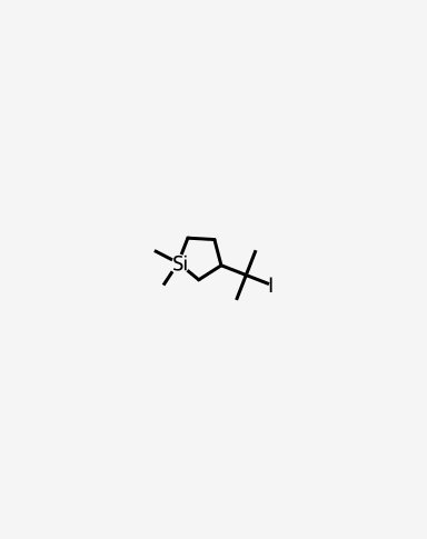 CC(C)(I)C1CC[Si](C)(C)C1